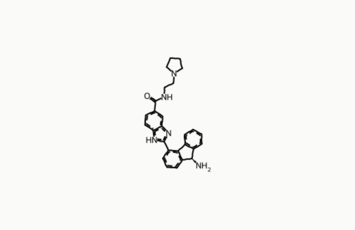 N[C@@H]1c2ccccc2-c2c(-c3nc4cc(C(=O)NCCN5CCCC5)ccc4[nH]3)cccc21